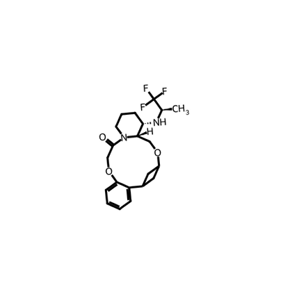 C[C@@H](N[C@H]1CCCN2C(=O)COc3ccccc3C3CC(C3)OC[C@@H]12)C(F)(F)F